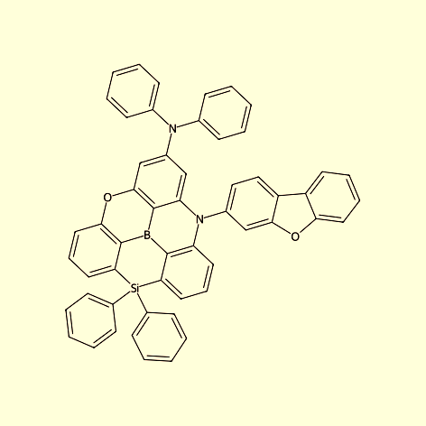 c1ccc(N(c2ccccc2)c2cc3c4c(c2)N(c2ccc5c(c2)oc2ccccc25)c2cccc5c2B4c2c(cccc2[Si]5(c2ccccc2)c2ccccc2)O3)cc1